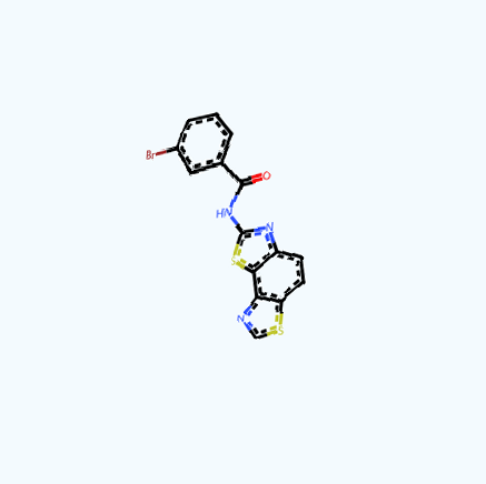 O=C(Nc1nc2ccc3scnc3c2s1)c1cccc(Br)c1